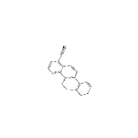 N#Cc1cccc2c3c(ccc12)C1=C(CCC=C1)CC3